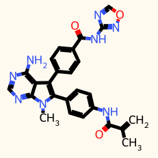 C=C(C)C(=O)Nc1ccc(-c2c(-c3ccc(C(=O)Nc4ncon4)cc3)c3c(N)ncnc3n2C)cc1